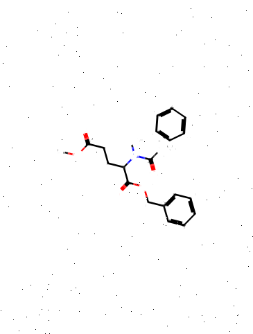 CCCCCN(C(=O)OC)C(CCC(=O)OC(C)(C)C)C(=O)OCc1ccccc1.c1ccccc1